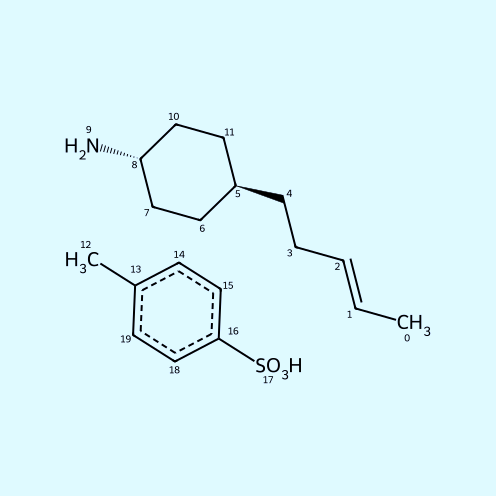 CC=CCC[C@H]1CC[C@H](N)CC1.Cc1ccc(S(=O)(=O)O)cc1